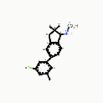 Cc1cc(F)cc(-c2ccc3c(c2)CC(C)(C)C3NC(=O)O)c1